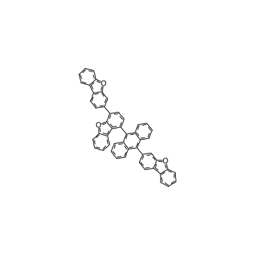 c1ccc2c(c1)oc1cc(-c3c4ccccc4c(-c4ccc(-c5ccc6c(c5)oc5ccccc56)c5oc6ccccc6c45)c4ccccc34)ccc12